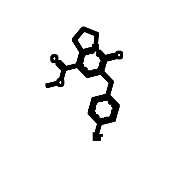 COC(=O)c1cc(Cc2ccc(Br)cc2)c(=O)n2c1CCC2